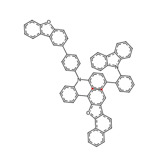 c1ccc(N(c2ccc(-c3ccc4oc5ccccc5c4c3)cc2)c2ccc(-c3ccccc3-n3c4ccccc4c4ccccc43)cc2)c(-c2cccc3c2oc2c4ccccc4ccc32)c1